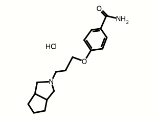 Cl.NC(=O)c1ccc(OCCCN2CC3CCCC3C2)cc1